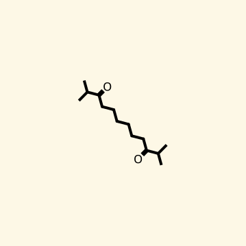 CC(C)C(=O)CCCCCCC(=O)C(C)C